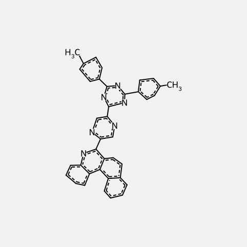 Cc1ccc(-c2nc(-c3ccc(C)cc3)nc(-c3cnc(-c4nc5ccccc5c5c4ccc4ccccc45)cn3)n2)cc1